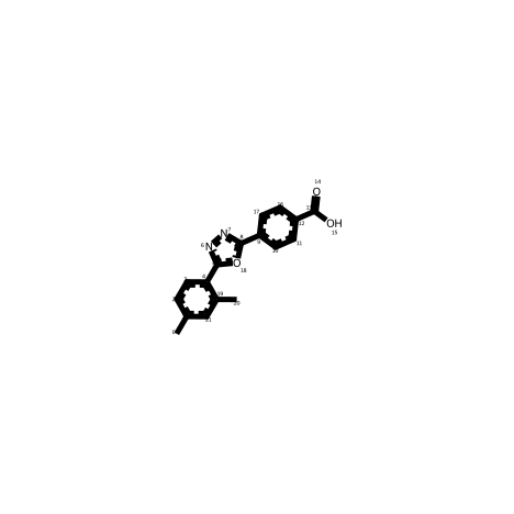 Cc1ccc(-c2nnc(-c3ccc(C(=O)O)cc3)o2)c(C)c1